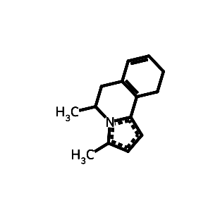 Cc1ccc2n1C(C)CC1=C2CCC=C1